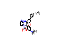 COc1ccc(C2CC(=O)C3=C(C2)Nc2ccccc2N(C(C)=O)C3c2ccc(N(C(C)C)C(C)C)cc2O)cc1